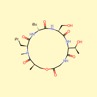 CC[C@@H](C)[C@@H]1NC(=O)[C@H](CC(C)C)N(C)C(=O)[C@H](C)COC(=O)CNC(=O)[C@H]([C@H](C)O)NC(=O)[C@H](CO)NC1=O